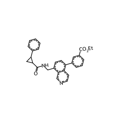 CCOC(=O)c1cccc(-c2ccc(CNC(=O)C3CC3c3ccccc3)c3cnccc23)c1